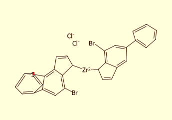 Brc1cc(-c2ccccc2)cc2c1[CH]([Zr+2][CH]1C=Cc3c4c(cc(Br)c31)-c1ccc(cc1)S4)C=C2.[Cl-].[Cl-]